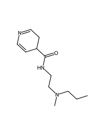 CCCN(C)CCNC(=O)C1C=CN=CC1